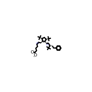 COC(=O)CCC/C=C\C[C@@H]1[C@@H](/C=C/[C@H](CCc2ccccc2)C(C)(C)C)[C@H](C(C)(C)C)C[C@@H]1C(C)(C)C